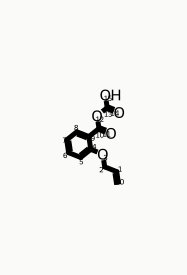 C=CCOc1ccccc1C(=O)OC(=O)O